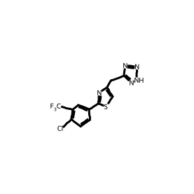 FC(F)(F)c1cc(-c2nc(Cc3nn[nH]n3)cs2)ccc1Cl